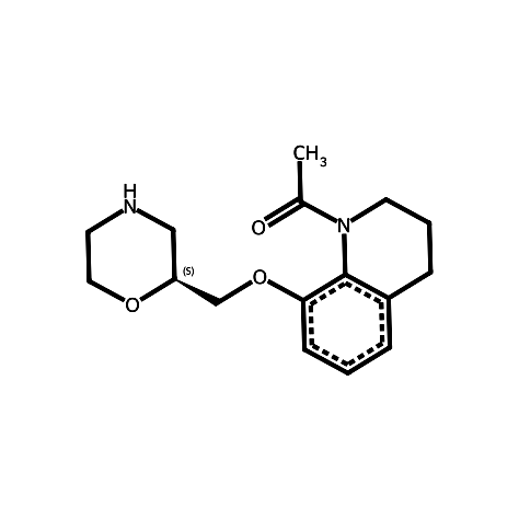 CC(=O)N1CCCc2cccc(OC[C@@H]3CNCCO3)c21